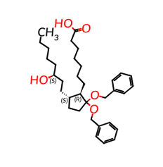 CCCCC[C@H](O)CC[C@H]1CCC(OCc2ccccc2)(OCc2ccccc2)[C@@H]1CCCCCCC(=O)O